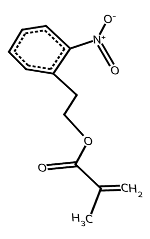 C=C(C)C(=O)OCCc1ccccc1[N+](=O)[O-]